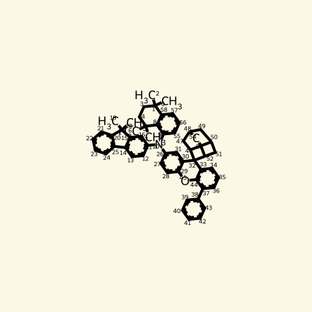 CC1(C)CCC(C)(C)c2c(N(c3ccc4c(c3)C(C)(C)c3ccccc3-4)c3ccc4c(c3)C3(c5cccc(-c6ccccc6)c5O4)C4CC5CC6CC3C64C5)cccc21